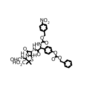 CC1(C)S[C@@H]2[C@@H](NC(=O)C(NC(=O)OCc3ccc([N+](=O)[O-])cc3)c3ccc(OC(=O)OCc4ccccc4)cc3)C(=O)N2[C@@]1(NC=O)C(=O)O